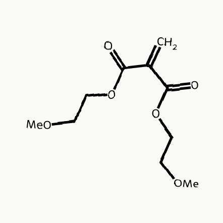 C=C(C(=O)OCCOC)C(=O)OCCOC